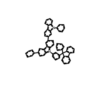 c1ccc(-c2ccc3c(c2)c2cc(-c4ccc5c6ccccc6n(-c6ccccc6)c5c4)ccc2n3-c2cccc(C3(c4ccccc4)c4ccccc4-c4ccccc43)c2)cc1